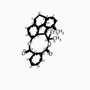 C=c1cccc/c1=C1\c2c(ccc3c2=CCCC=3)OC(=O)c2ccccc2C(=O)OC1(C)CC